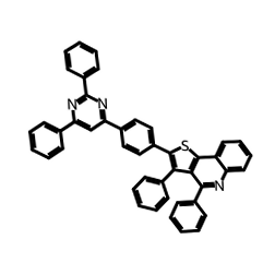 c1ccc(-c2cc(-c3ccc(-c4sc5c(c(-c6ccccc6)nc6ccccc65)c4-c4ccccc4)cc3)nc(-c3ccccc3)n2)cc1